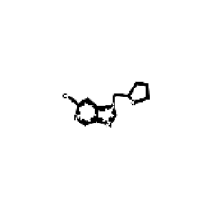 Clc1cc2c(cn1)ncn2CC1CCCO1